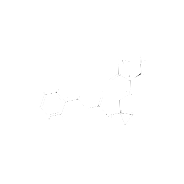 COC(=O)[C@@H](CC(C)C)NCC1(NC(=O)OCc2ccccc2)CC1